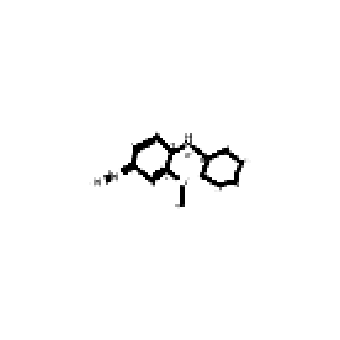 COC1=CC(=[N+]=[N-])C=CC1NC1CCCCC1